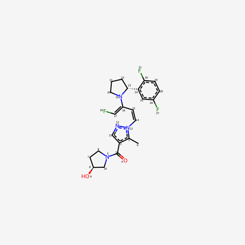 Cc1c(C(=O)N2CC[C@H](O)C2)cnn1/C=C\C(=C\F)N1CCC[C@@H]1c1cc(F)ccc1F